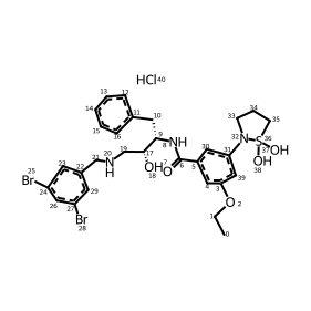 CCOc1cc(C(=O)N[C@@H](Cc2ccccc2)[C@H](O)CNCc2cc(Br)cc(Br)c2)cc(N2CCCS2(O)O)c1.Cl